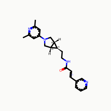 Cc1cc(N2C[C@@H]3[C@@H](CCNC(=O)/C=C/c4cccnc4)[C@@H]3C2)cc(C)n1